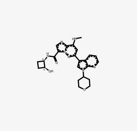 CNc1cc(-c2cn(C3CCOCC3)c3ncccc23)nn2c(C(=O)N[C@@H]3CC[C@@H]3O)cnc12